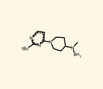 BN(C)C1CCN(c2ccnc(C(C)(C)C)n2)CC1